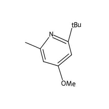 COc1cc(C)nc(C(C)(C)C)c1